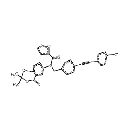 CC1(C)OC(=O)c2cc(N(Cc3ccc(C#Cc4ccc(Cl)cc4)cc3)C(=O)c3ccno3)ccc2O1